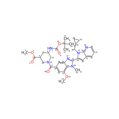 COC(=O)C1CC(NC(=O)OC(C)(C)C)CN(C(=O)c2cc(OC)c3c(c2)nc(-c2cc4cccnc4n2CC2CC2)n3C)C1